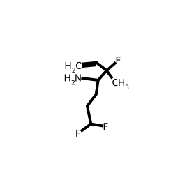 C=CC(C)(F)C(N)CCC(F)F